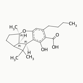 CCCCc1cc2c(c(O)c1C(=O)O)[C@@H]1[C@H]3C(CC[C@@]3(C)O2)C1(C)C